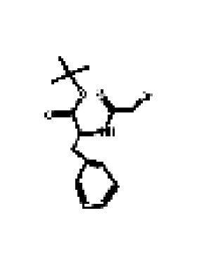 CC(C)(C)OC(=O)[C@H](Cc1ccccc1)NC(=O)CBr